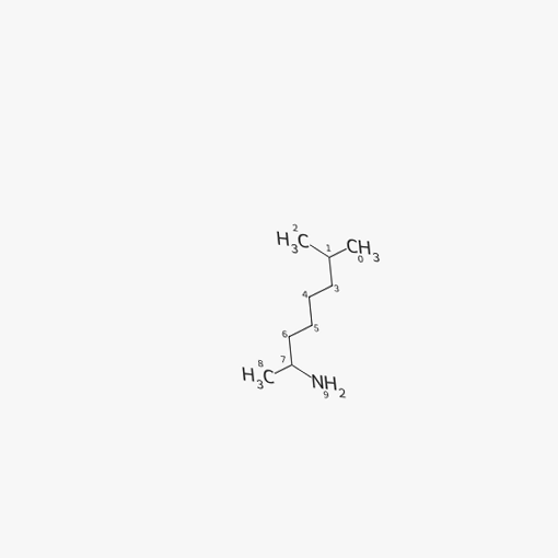 CC(C)CCCCC(C)N